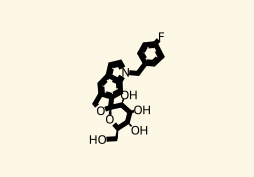 OC[C@H]1O[C@]2(OCc3cc4ccn(Cc5ccc(F)cc5)c4cc32)[C@H](O)[C@@H](O)[C@@H]1O